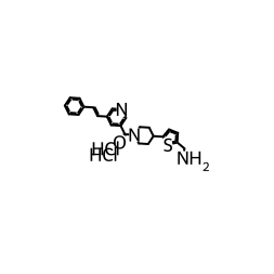 Cl.Cl.NCc1ccc(C2CCN(C(=O)c3cncc(C=Cc4ccccc4)c3)CC2)s1